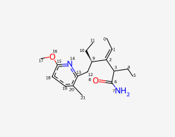 C/C=C(/C(CC)C(N)=O)[C@H](CC)Cc1nc(OC)ccc1C